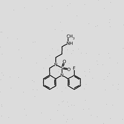 CNCCCN1Cc2ccccc2N(c2ccccc2F)S1(=O)=O